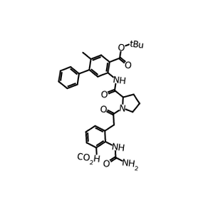 Cc1cc(C(=O)OC(C)(C)C)c(NC(=O)C2CCCN2C(=O)Cc2cccc(C(=O)O)c2NC(N)=O)cc1-c1ccccc1